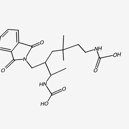 CC(NC(=O)O)C(CN1C(=O)c2ccccc2C1=O)CC(C)(C)CCNC(=O)O